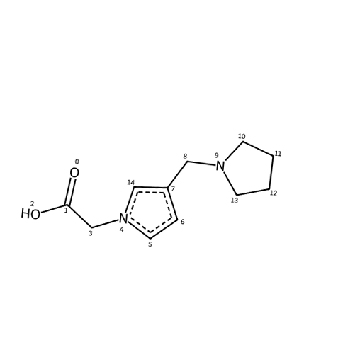 O=C(O)Cn1ccc(CN2CCCC2)c1